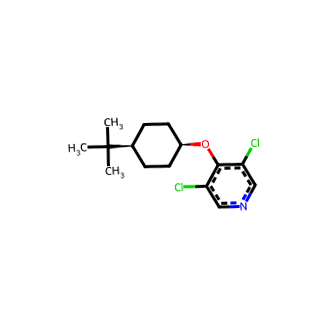 CC(C)(C)[C@H]1CC[C@@H](Oc2c(Cl)cncc2Cl)CC1